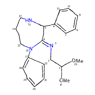 COC(C/N=C1/C(c2ccccc2)NCCCN1c1ccccc1)OC